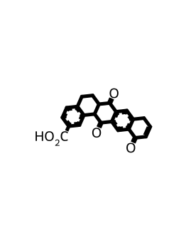 O=C(O)c1ccc2c(c1)C1C(=O)c3cc4c(cc3C(=O)C1CC2)CC=CC4=O